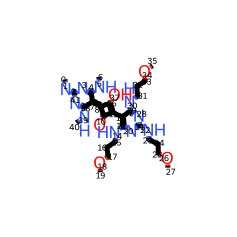 CN=C1N=C(NC)C(=C2C(=O)C(c3c(NCCCOC)nc(NCCCOC)nc3NCCCOC)=C2O)C(NC)=N1